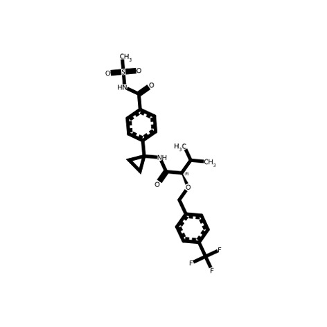 CC(C)[C@@H](OCc1ccc(C(F)(F)F)cc1)C(=O)NC1(c2ccc(C(=O)NS(C)(=O)=O)cc2)CC1